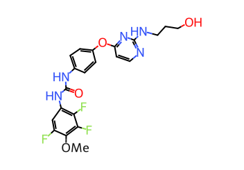 COc1c(F)cc(NC(=O)Nc2ccc(Oc3ccnc(NCCCO)n3)cc2)c(F)c1F